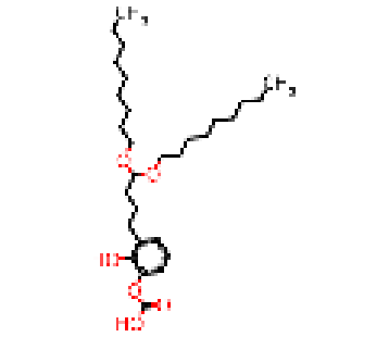 CCCCCCCCCOC(CCCc1cccc(OC(=O)O)c1O)OCCCCCCCCC